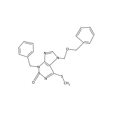 CSc1nc(=O)n(Cc2ccccc2)c2ncn(COCc3ccccc3)c12